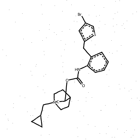 O=C(Nc1ccccc1Cc1cc(Br)cs1)OC1C[N+]2(CC3CC3)CCC1CC2